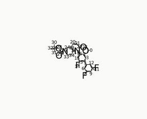 COc1cc(-c2cc(F)cc(F)c2)c(F)cc1-n1c2c(ccc1=O)CN(C(=O)OC(C)(C)C)CC2